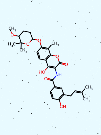 COC1CCC(Oc2ccc3c(O)c(NC(=O)c4ccc(O)c(CC=C(C)C)c4)c(=O)oc3c2C)OC1(C)C